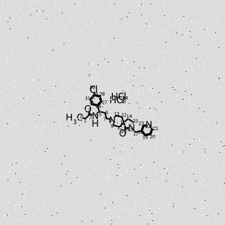 CCC(=O)NC(CCN1CCC2(CC1)CCN(Cc1cccnc1)C2=O)c1ccc(Cl)cc1.Cl.Cl